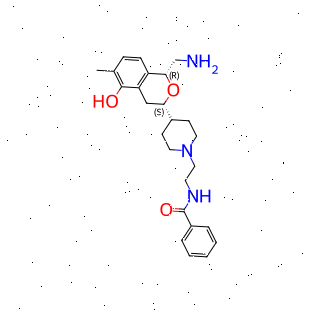 Cc1ccc2c(c1O)C[C@@H](C1CCN(CCNC(=O)c3ccccc3)CC1)O[C@H]2CN